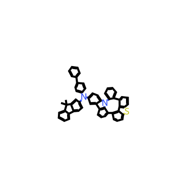 CC1(C)c2ccccc2-c2ccc(N(c3ccc(-c4ccccc4)cc3)c3ccc4c(c3)c3cccc5c6cccc7sc8cccc(c9ccccc9n4c53)c8c76)cc21